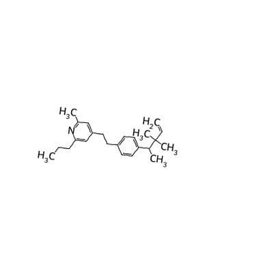 C=CC(C)(C)C(C)c1ccc(CCc2cc(C)nc(CCC)c2)cc1